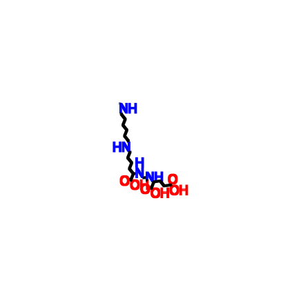 CNCCCCCCNCCCCC(NCNC(CCC(=O)O)C(=O)O)C(=O)O